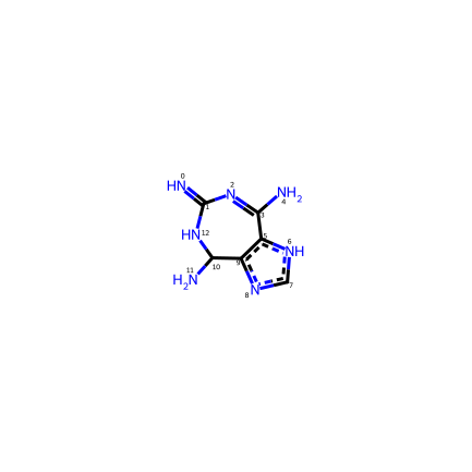 N=C1N=C(N)c2[nH]cnc2C(N)N1